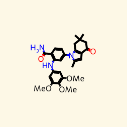 COc1cc(Nc2cc(-n3c(C)cc4c3CC(C)(C)CC4=O)ccc2C(N)=O)cc(OC)c1OC